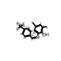 Cc1cc(C)c(O)c(/N=C\c2ccc(C(F)(F)F)cc2)c1